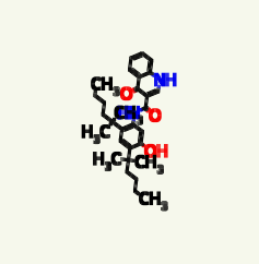 CCCCC(C)(C)c1cc(C(C)(C)CCCC)c(NC(=O)c2c[nH]c3ccccc3c2=O)cc1O